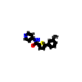 CC(C)c1cccc(-c2ccc(C(=O)Nc3ccncc3)s2)c1